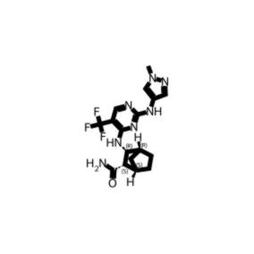 Cn1cc(Nc2ncc(C(F)(F)F)c(N[C@@H]3[C@@H]4CC[C@@H](C4)[C@@H]3C(N)=O)n2)cn1